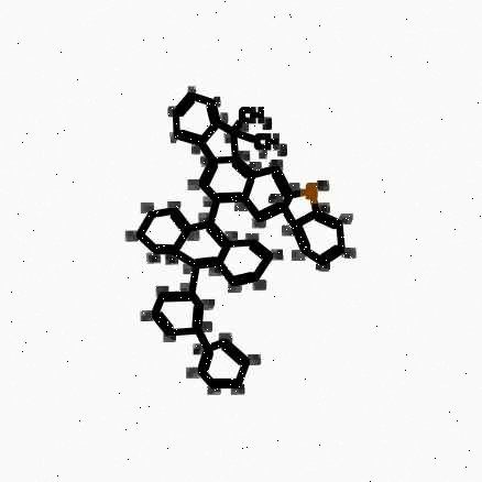 CC1(C)c2ccccc2-c2cc(-c3c4c(c(-c5cccc(-c6ccccc6)c5)c5ccccc35)=CCCC=4)c3cc4c(cc3c21)sc1ccccc14